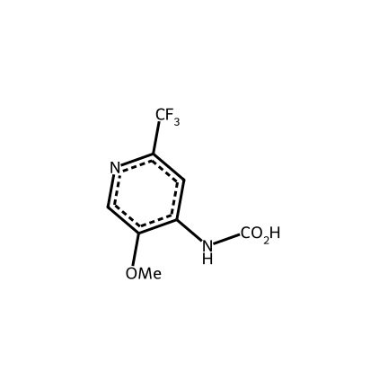 COc1cnc(C(F)(F)F)cc1NC(=O)O